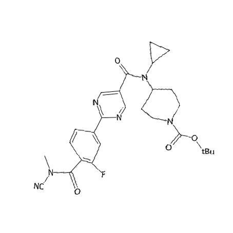 CN(C#N)C(=O)c1ccc(-c2ncc(C(=O)N(C3CC3)C3CCN(C(=O)OC(C)(C)C)CC3)cn2)cc1F